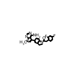 Cn1cc(-c2ccc3c(c2)CCN3C(=O)Cc2ccc(F)cc2F)c2c(N)ncnc21